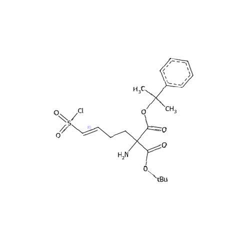 CC(C)(C)OC(=O)C(N)(CC/C=C/S(=O)(=O)Cl)C(=O)OC(C)(C)c1ccccc1